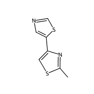 Cc1nc(-c2cncs2)cs1